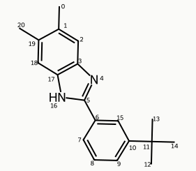 Cc1cc2nc(-c3cccc(C(C)(C)C)c3)[nH]c2cc1C